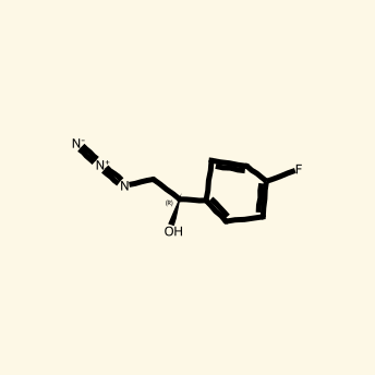 [N-]=[N+]=NC[C@H](O)c1ccc(F)cc1